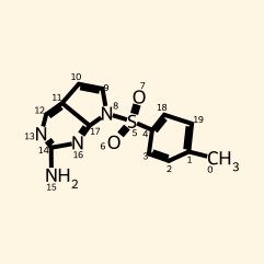 Cc1ccc(S(=O)(=O)n2ccc3cnc(N)nc32)cc1